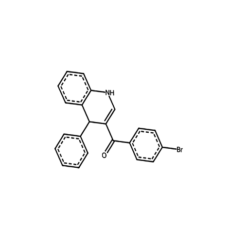 O=C(C1=CNc2ccccc2C1c1ccccc1)c1ccc(Br)cc1